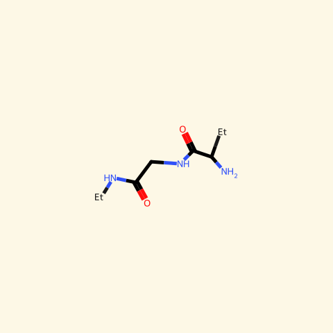 CCNC(=O)CNC(=O)C(N)CC